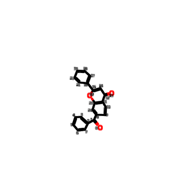 O=C(c1ccccc1)c1ccc2c(=O)cc(-c3ccccc3)oc2c1